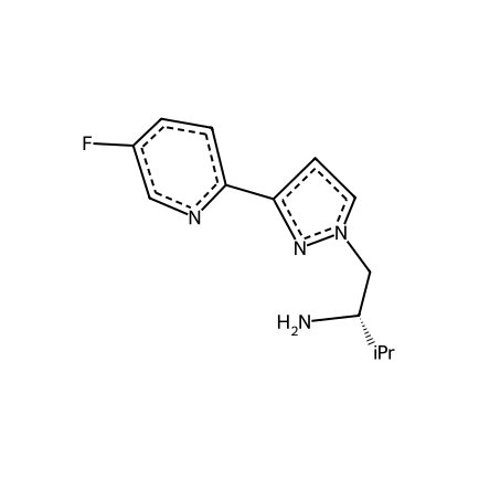 CC(C)[C@H](N)Cn1ccc(-c2ccc(F)cn2)n1